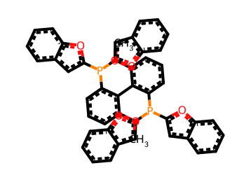 COc1cccc(P(c2cc3ccccc3o2)c2cc3ccccc3o2)c1-c1c(OC)cccc1P(c1cc2ccccc2o1)c1cc2ccccc2o1